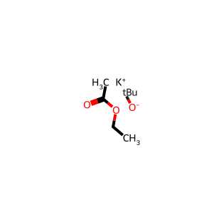 CC(C)(C)[O-].CCOC(C)=O.[K+]